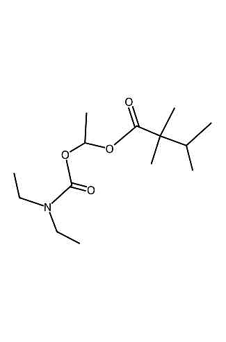 CCN(CC)C(=O)OC(C)OC(=O)C(C)(C)C(C)C